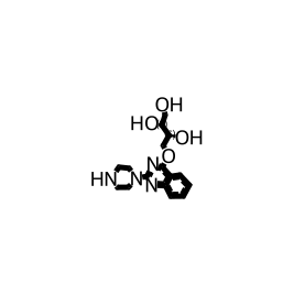 OC[C@H](O)[C@@H](O)COc1nc(N2CCNCC2)nc2ccccc12